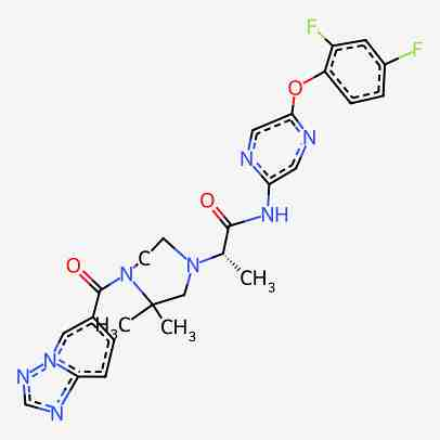 C[C@@H](C(=O)Nc1cnc(Oc2ccc(F)cc2F)cn1)N1CCN(C(=O)c2ccc3ncnn3c2)C(C)(C)C1